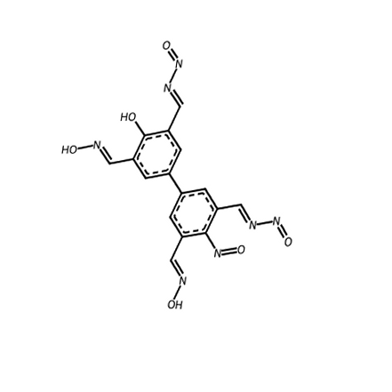 O=N/N=C/c1cc(-c2cc(/C=N/O)c(N=O)c(/C=N/N=O)c2)cc(/C=N/O)c1O